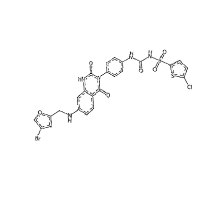 O=C(Nc1ccc(-n2c(=O)[nH]c3cc(NCc4cc(Br)co4)ccc3c2=O)cc1)NS(=O)(=O)c1ccc(Cl)s1